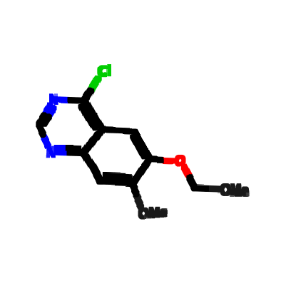 COCOc1cc2c(Cl)ncnc2cc1OC